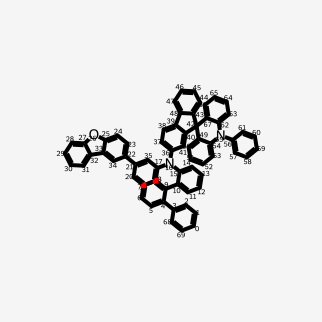 c1ccc(-c2ccccc2-c2ccccc2N(c2cccc(-c3ccc4oc5ccccc5c4c3)c2)c2ccc3c(c2)C2(c4ccccc4-3)c3ccccc3N(c3ccccc3)c3ccccc32)cc1